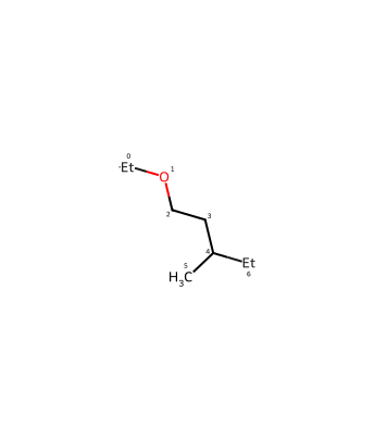 C[CH]OCCC(C)CC